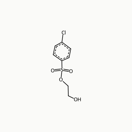 O=S(=O)(OCCO)c1ccc(Cl)cc1